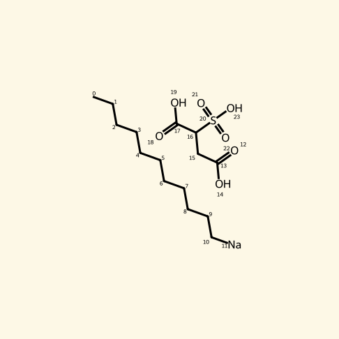 CCCCCCCCCC[CH2][Na].O=C(O)CC(C(=O)O)S(=O)(=O)O